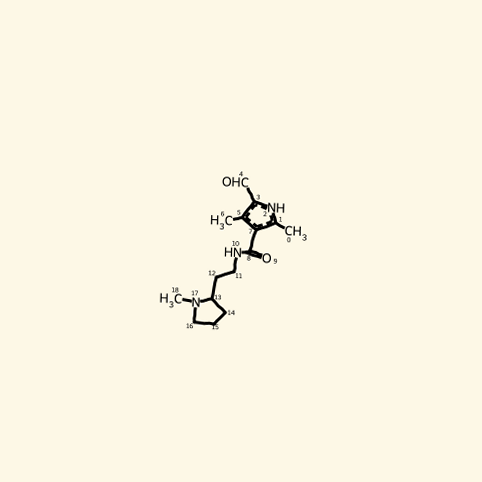 Cc1[nH]c(C=O)c(C)c1C(=O)NCCC1CCCN1C